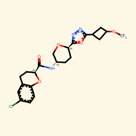 O=C(N[C@H]1CC[C@H](c2nnc(C3CC(OC(F)(F)F)C3)o2)OC1)[C@@H]1CCc2cc(Cl)ccc2O1